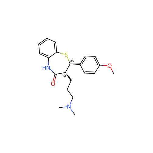 COc1ccc([C@@H]2Sc3ccccc3NC(=O)[C@@H]2CCCN(C)C)cc1